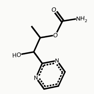 CC(OC(N)=O)C(O)c1ncccn1